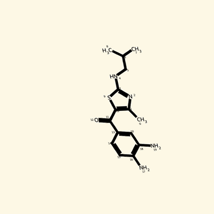 Cc1nc(NCC(C)C)sc1C(=O)c1ccc(N)c(N)c1